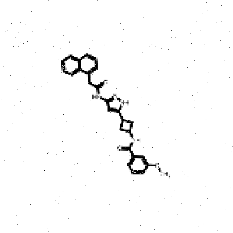 COc1cccc(C(=O)NC2CC(c3cc(NC(=O)Cc4cccc5ccccc45)n[nH]3)C2)c1